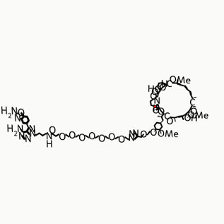 CO[C@H]1C[C@@H]2CC[C@@H](C)[C@@](O)(O2)C(=O)C(=O)N2CCCC[C@H]2C(=O)O[C@H]([C@H](C)C[C@@H]2CC[C@@H](OCCOCc3cn(CCOCCOCCOCCOCCOCCOCCOCCC(=O)NCCCCn4nc(-c5ccc6oc(N)nc6c5)c5c(N)ncnc54)nn3)[C@H](OC)C2)CC(=O)[C@H](C)/C=C(\C)[C@@H](O)[C@@H](OC)C(=O)[C@H](C)C[C@H](C)/C=C/C=C/C=C/1C